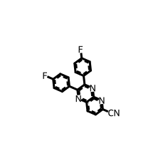 N#Cc1ccc2nc(-c3ccc(F)cc3)c(-c3ccc(F)cc3)nc2n1